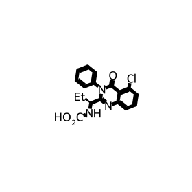 CC[C@H](NC(=O)O)c1nc2cccc(Cl)c2c(=O)n1-c1ccccc1